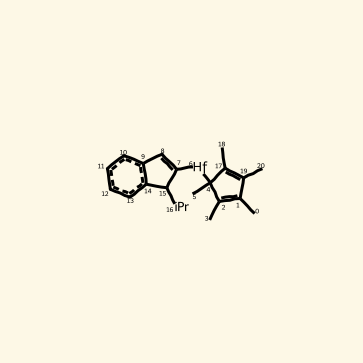 CC1=C(C)[C](C)([Hf][C]2=Cc3ccccc3C2C(C)C)C(C)=C1C